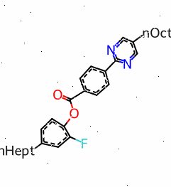 CCCCCCCCc1cnc(-c2ccc(C(=O)Oc3ccc(CCCCCCC)cc3F)cc2)nc1